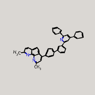 Cc1ccc2ccc3c(-c4ccc(-c5cccc(-c6cc(-c7ccccc7)cc(-c7ccccc7)n6)c5)cc4)cc(C)nc3c2n1